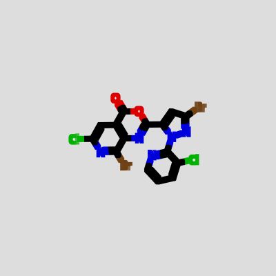 O=c1oc(-c2cc(Br)nn2-c2ncccc2Cl)nc2c(Br)nc(Cl)cc12